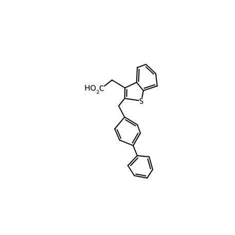 O=C(O)Cc1c(Cc2ccc(-c3ccccc3)cc2)sc2ccccc12